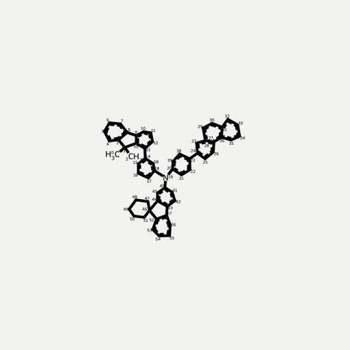 CC1(C)c2ccccc2-c2cccc(-c3cccc(N(c4ccc(-c5ccc6c(ccc7ccccc76)c5)cc4)c4ccc5c(c4)C4(CCCCC4)c4ccccc4-5)c3)c21